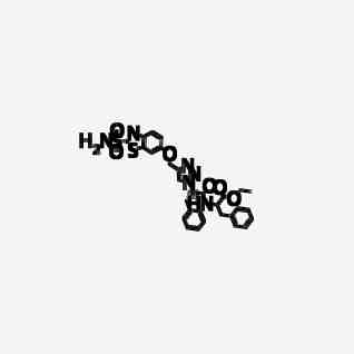 CCOC(=O)C(Cc1ccccc1)NC(=O)[C@H](Cc1ccccc1)n1cc(COc2ccc3nc(S(N)(=O)=O)sc3c2)nn1